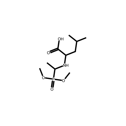 COP(=O)(OC)C(C)NC(CC(C)C)C(=O)O